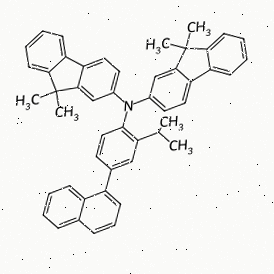 CC(C)c1cc(-c2cccc3ccccc23)ccc1N(c1ccc2c(c1)C(C)(C)c1ccccc1-2)c1ccc2c(c1)C(C)(C)c1ccccc1-2